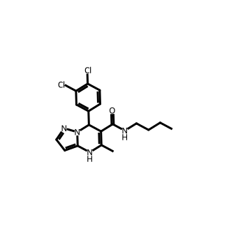 CCCCNC(=O)C1=C(C)Nc2ccnn2C1c1ccc(Cl)c(Cl)c1